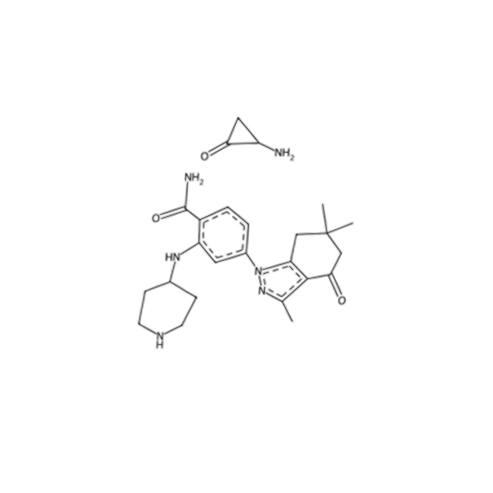 Cc1nn(-c2ccc(C(N)=O)c(NC3CCNCC3)c2)c2c1C(=O)CC(C)(C)C2.NC1CC1=O